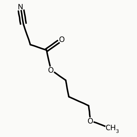 COCCCOC(=O)CC#N